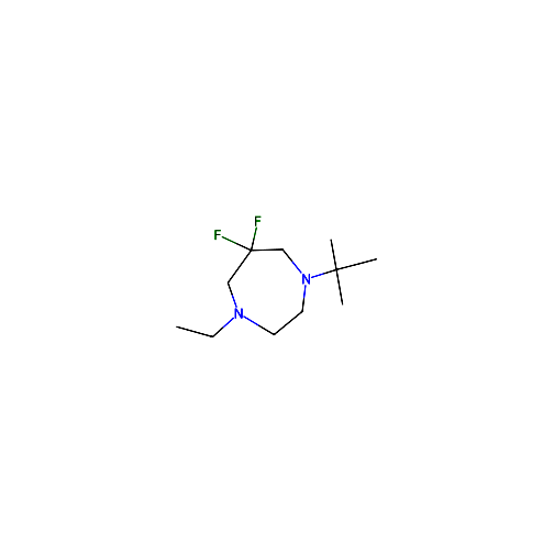 CCN1CCN(C(C)(C)C)CC(F)(F)C1